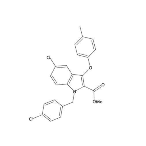 COC(=O)c1c(Oc2ccc(C)cc2)c2cc(Cl)ccc2n1Cc1ccc(Cl)cc1